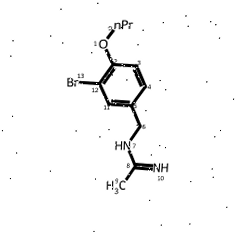 CCCOc1ccc(CNC(C)=N)cc1Br